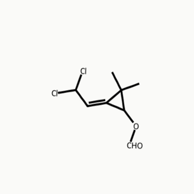 CC1(C)C(=CC(Cl)Cl)C1OC=O